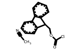 CC#N.O=C(Cl)OCC1c2ccccc2-c2ccccc21